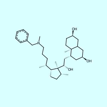 C[C@H](CCCN(C)Cc1ccccc1)[C@H]1CC[C@@H](C)[C@]1(C)[C@@H](O)C[C@H]1C[C@H](O)CC2C[C@H](O)CC[C@@]21C